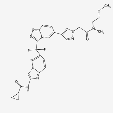 COCCN(C)C(=O)Cn1cc(-c2ccc3nnc(C(F)(F)c4ccc5nc(NC(=O)C6CC6)cn5n4)n3c2)cn1